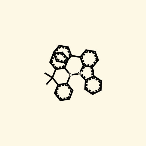 CC1(C)c2ccccc2B(n2c3ccccc3c3cccc(-c4ccccc4)c32)c2ccccc21